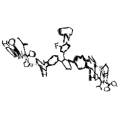 COC(=O)N[C@H](C(=O)N1CCC[C@H]1c1nc2ccc(C3CCC(c4ccc5nc([C@@H]6CCCN6C(=O)[C@@H](NC(=O)O)C(C)C)[nH]c5c4)C3c3ccc(N4CCCCC4)c(F)c3)cc2[nH]1)C(C)C